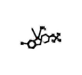 [2H]C([2H])([2H])O[C@H]1CC[C@]2(CC1)Cc1ccc(Br)cc1C21N=C(C)C(N)=N1